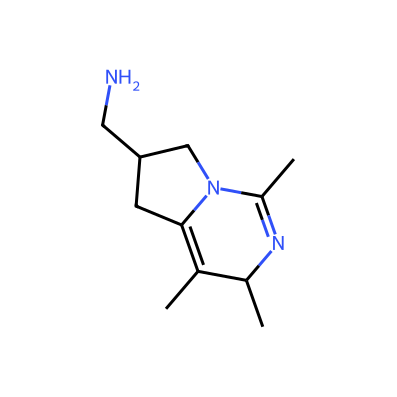 CC1=NC(C)C(C)=C2CC(CN)CN12